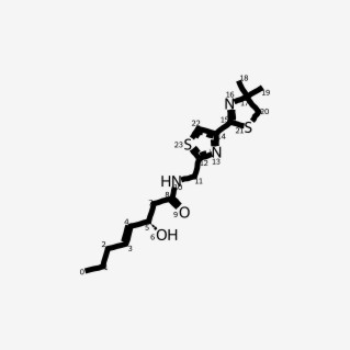 CCC/C=C/[C@@H](O)CC(=O)NCc1nc(C2=NC(C)(C)CS2)cs1